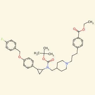 CCOC(=O)c1ccc(CCCN2CCC(CN(C(=O)OC(C)(C)C)C3CC3c3ccc(OCc4ccc(F)cc4)cc3)CC2)cc1